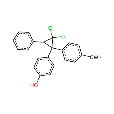 COc1ccc(C2(c3ccc(O)cc3)C(c3ccccc3)C2(Cl)Cl)cc1